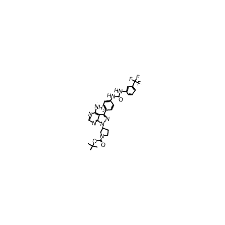 CC(C)(C)OC(=O)N1CCC(n2nc(-c3ccc(NC(=O)Nc4cccc(C(F)(F)F)c4)cc3)c3c(N)ncnc32)C1